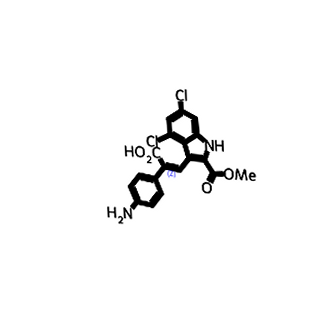 COC(=O)c1[nH]c2cc(Cl)cc(Cl)c2c1/C=C(\C(=O)O)c1ccc(N)cc1